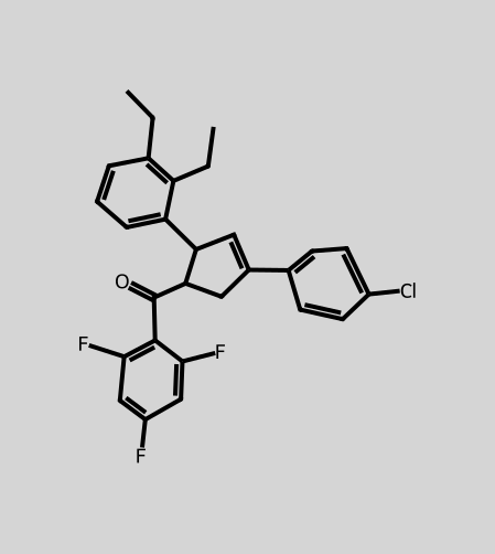 CCc1cccc(C2C=C(c3ccc(Cl)cc3)CC2C(=O)c2c(F)cc(F)cc2F)c1CC